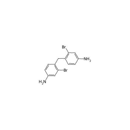 Nc1ccc(Cc2ccc(N)cc2Br)c(Br)c1